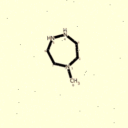 CN1CCNNCC1